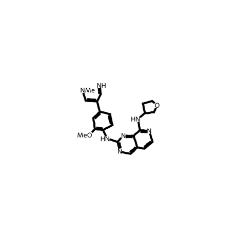 CN/C=C(\C=N)c1ccc(Nc2ncc3ccnc(NC4CCOC4)c3n2)c(OC)c1